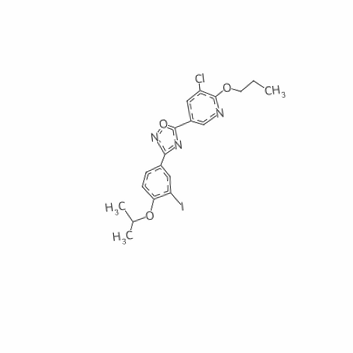 CCCOc1ncc(-c2nc(-c3ccc(OC(C)C)c(I)c3)no2)cc1Cl